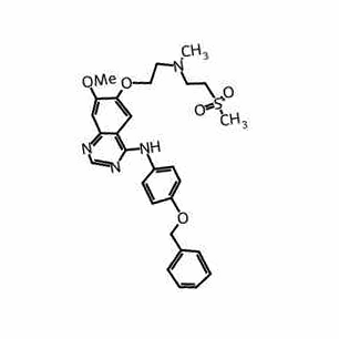 COc1cc2ncnc(Nc3ccc(OCc4ccccc4)cc3)c2cc1OCCN(C)CCS(C)(=O)=O